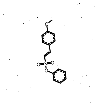 COc1ccc(C=CS(=O)(=O)Oc2ccccc2)cc1